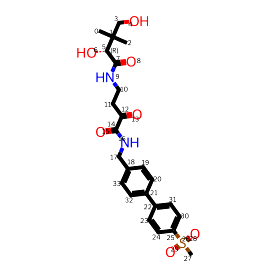 CC(C)(CO)[C@@H](O)C(=O)NCCC(=O)C(=O)NCc1ccc(-c2ccc(S(C)(=O)=O)cc2)cc1